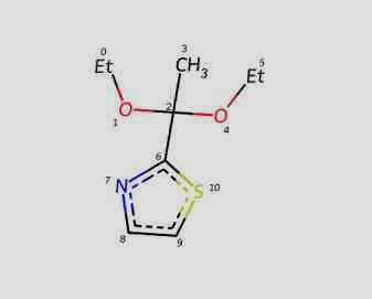 CCOC(C)(OCC)c1nccs1